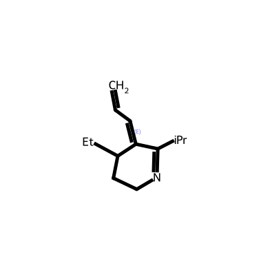 C=C/C=C1/C(C(C)C)=NCCC1CC